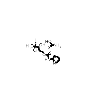 CC(C)(C)C(O)CCOC(=S)Nc1ccccn1.NC(O)=S